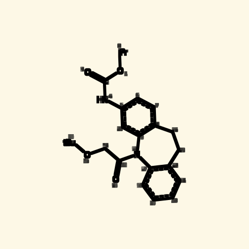 CC(C)OC(=O)Nc1ccc2c(c1)N(C(=O)COC(C)(C)C)c1ccccc1CC2